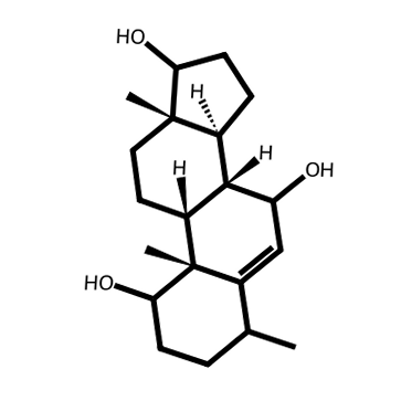 CC1CCC(O)[C@@]2(C)C1=CC(O)[C@@H]1[C@H]2CC[C@]2(C)C(O)CC[C@@H]12